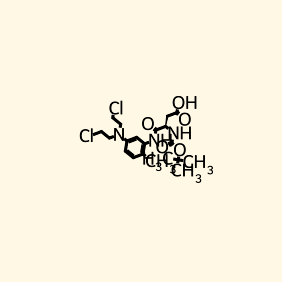 Cc1ccc(N(CCCl)CCCl)cc1NC(=O)[C@@H](CC(=O)O)NC(=O)OC(C)(C)C